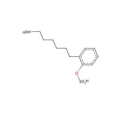 CCCCCCCCCCCCCCCCc1ccccc1OS(=O)(=O)O